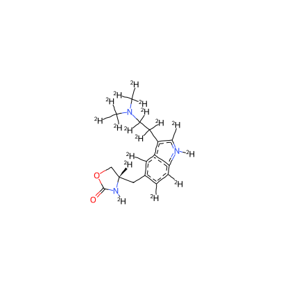 [2H]c1c(C[C@@]2([2H])COC(=O)N2[2H])c([2H])c2c(C([2H])([2H])C([2H])([2H])N(C([2H])([2H])[2H])C([2H])([2H])[2H])c([2H])n([2H])c2c1[2H]